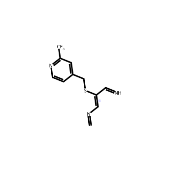 C=N/C=C(/C=N)SCc1ccnc(C(F)(F)F)c1